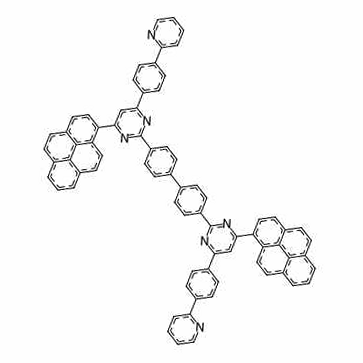 c1ccc(-c2ccc(-c3cc(-c4ccc5ccc6cccc7ccc4c5c67)nc(-c4ccc(-c5ccc(-c6nc(-c7ccc(-c8ccccn8)cc7)cc(-c7ccc8ccc9cccc%10ccc7c8c9%10)n6)cc5)cc4)n3)cc2)nc1